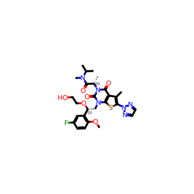 COc1ccc(F)cc1[C@@H](Cn1c(=O)n([C@@H](C)C(=O)N(C)C(C)C)c(=O)c2c(C)c(-n3nccn3)sc21)OCCO